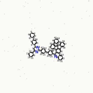 c1ccc(-c2ccc(-c3cc(-c4ccccc4)nc(-c4ccc(-c5ccc(-c6nc7ccccc7c7cc8c(cc67)C(c6ccccc6)(c6ccccc6)c6ccccc6-8)cc5)cc4)n3)cc2)cc1